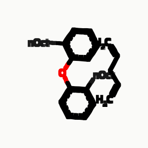 C=CCC=C.CCCCCCCCc1ccccc1Oc1ccccc1CCCCCCCC